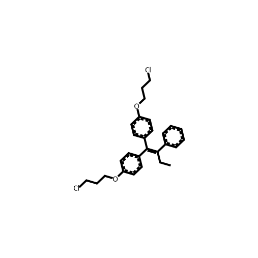 CCC(=C(c1ccc(OCCCCl)cc1)c1ccc(OCCCCl)cc1)c1ccccc1